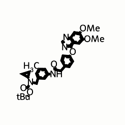 COc1cc2ncnc(Oc3ccc(CC(=O)Nc4cc(C)cc(CN(C(=O)OC(C)(C)C)C5CC5)c4)cc3)c2cc1OC